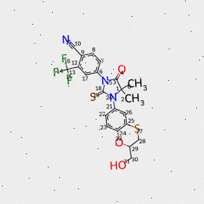 CC1(C)C(=O)N(c2ccc(C#N)c(C(F)(F)F)c2)C(=S)N1c1ccc2c(c1)SCC(CO)O2